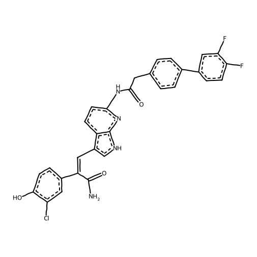 NC(=O)/C(=C\c1c[nH]c2nc(NC(=O)Cc3ccc(-c4ccc(F)c(F)c4)cc3)ccc12)c1ccc(O)c(Cl)c1